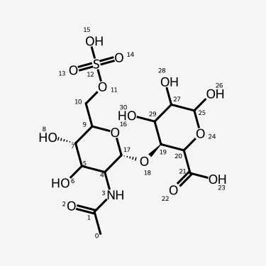 CC(=O)NC1C(O)[C@H](O)C(COS(=O)(=O)O)O[C@@H]1O[C@@H]1C(C(=O)O)OC(O)C(O)C1O